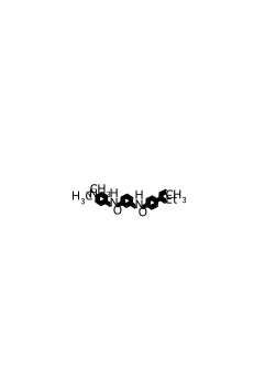 C/C=C\C(=C/CC)c1ccc(C(=O)NCc2cccc(C(=O)NCc3ccc(N(C)C)cc3)c2)cc1